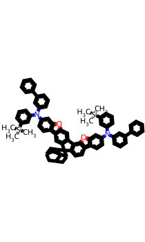 C[Si](C)(C)c1cccc(N(c2cccc(-c3ccccc3)c2)c2ccc3c(c2)oc2cc4c(cc23)C2(c3ccc5c(oc6cc(N(c7cccc(-c8ccccc8)c7)c7cccc([Si](C)(C)C)c7)ccc65)c3-4)C3CC4CC(C3)CC2C4)c1